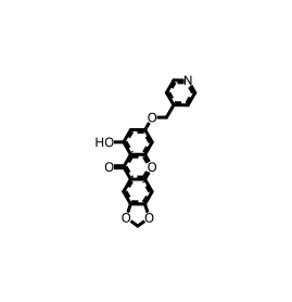 O=c1c2cc3c(cc2oc2cc(OCc4ccncc4)cc(O)c12)OCO3